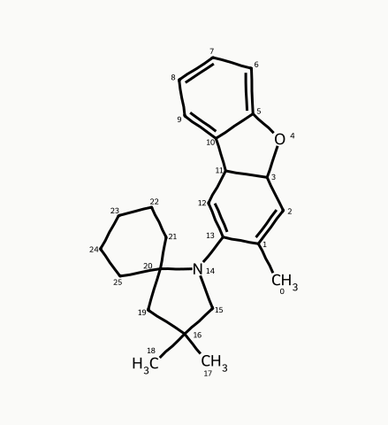 CC1=CC2Oc3ccccc3C2C=C1N1CC(C)(C)CC12CCCCC2